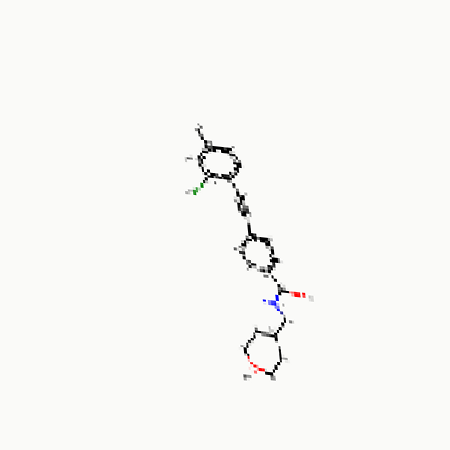 Cc1ccc(C#Cc2ccc(C(=O)NCC3CCOCC3)cc2)c(F)c1